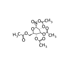 CC(=O)OC[C@H]1O[C@@H](N=O)[C@H](OC(C)=O)[C@@H](OC(C)=O)[C@@H]1OC(C)=O